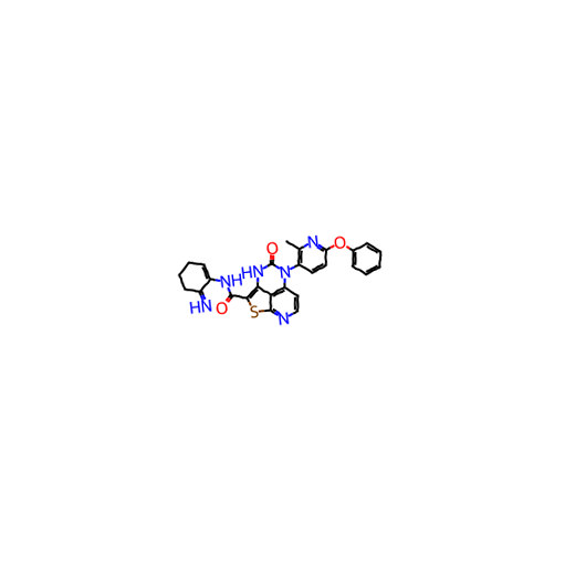 Cc1nc(Oc2ccccc2)ccc1N1C(=O)Nc2c(C(=O)NC3=CCCCC3=N)sc3nccc1c23